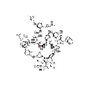 CNCCOc1ccc(COCNC)c(NC(=O)NC(=O)C[C@@H]2NC(=O)[C@H](NC(=O)[C@@H](CC(C)C)NC)[C@H](O)c3ccc(c(C)c3)Oc3cc4cc(c3O[C@@H]3O[C@@H]5CNC(=O)O[C@H]5[C@H](O)[C@H]3O)Oc3ccc(cc3Cl)[C@@H](O)[C@@H]3NC(=O)[C@H](NC(=O)[C@@H]4NC2=O)c2ccc(O)c(c2)-c2c(C)cc(O)cc2[C@@H](C(=O)NC2C4CC5CC(C4)CC2C5)NC3=O)c1